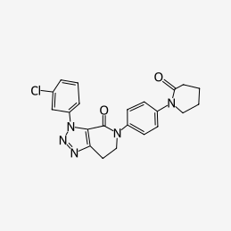 O=C1CCCCN1c1ccc(N2CCc3nnn(-c4cccc(Cl)c4)c3C2=O)cc1